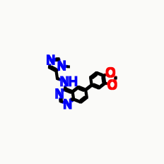 Cn1cncc1CNc1ncnc2ccc(-c3ccc4c(c3)OCO4)cc12